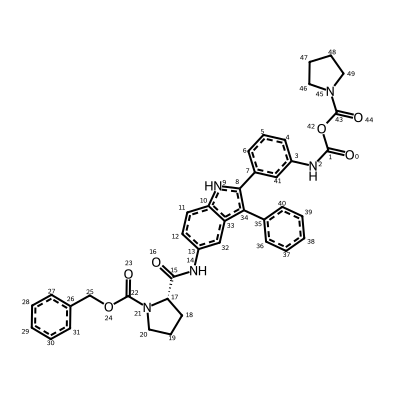 O=C(Nc1cccc(-c2[nH]c3ccc(NC(=O)[C@@H]4CCCN4C(=O)OCc4ccccc4)cc3c2-c2ccccc2)c1)OC(=O)N1CCCC1